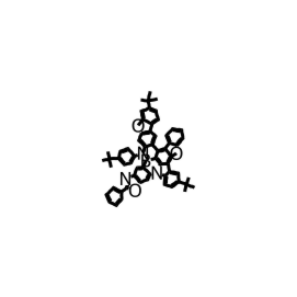 CC(C)(C)c1ccc(N2B3c4cc5nc(-c6ccccc6)oc5cc4-n4c5ccc(C(C)(C)C)cc5c5c6oc7ccccc7c6c(c3c54)-c3cc4c(cc32)oc2cc(C(C)(C)C)ccc24)cc1